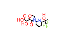 CC(O)(c1cccc(N2CCO[C@H](C(O)C(=O)O)C2=O)n1)C(F)(F)F